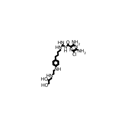 N=C(NCCCCc1ccc(NCCNC[C@@H](O)CO)cc1)NC(=O)c1nc(Cl)c(N)nc1N